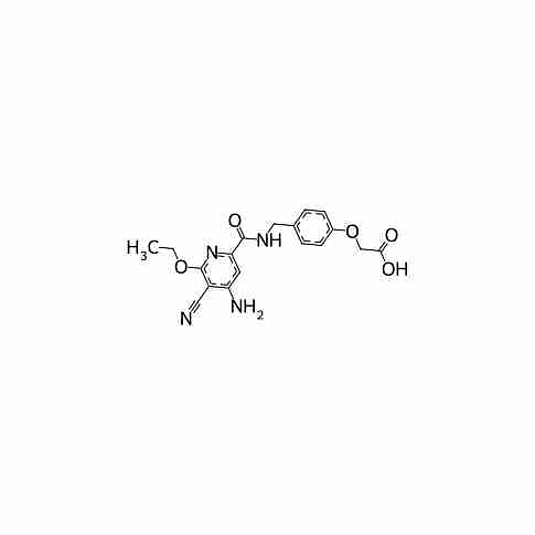 CCOc1nc(C(=O)NCc2ccc(OCC(=O)O)cc2)cc(N)c1C#N